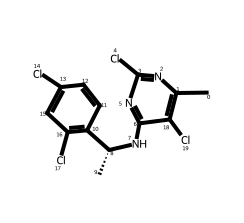 Cc1nc(Cl)nc(N[C@H](C)c2ccc(Cl)cc2Cl)c1Cl